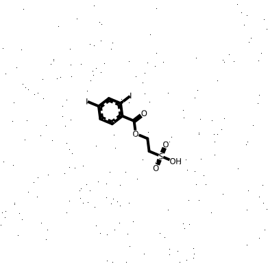 O=C(OCCS(=O)(=O)O)c1ccc(I)cc1I